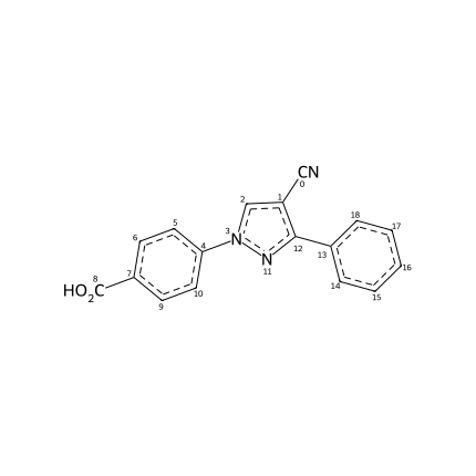 N#Cc1cn(-c2ccc(C(=O)O)cc2)nc1-c1ccccc1